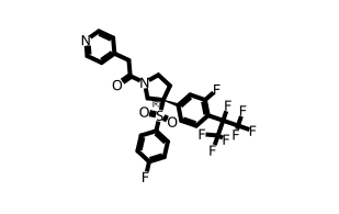 O=C(Cc1ccncc1)N1CC[C@](c2ccc(C(F)(C(F)(F)F)C(F)(F)F)c(F)c2)(S(=O)(=O)c2ccc(F)cc2)C1